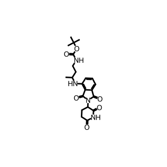 CC(CCNC(=O)OC(C)(C)C)Nc1cccc2c1C(=O)N(C1CCC(=O)NC1=O)C2=O